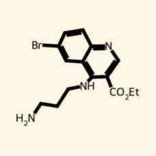 CCOC(=O)c1cnc2ccc(Br)cc2c1NCCCN